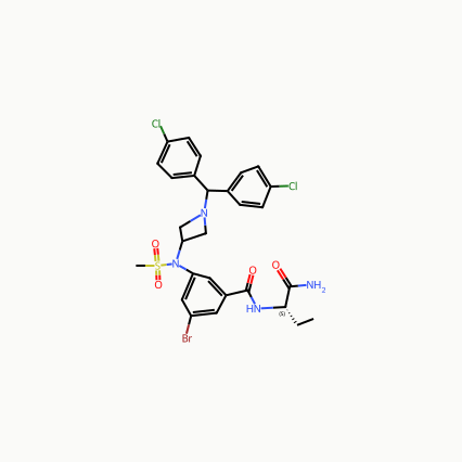 CC[C@H](NC(=O)c1cc(Br)cc(N(C2CN(C(c3ccc(Cl)cc3)c3ccc(Cl)cc3)C2)S(C)(=O)=O)c1)C(N)=O